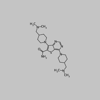 CN(C)CC1CCN(c2c(C(N)=O)sc3c(N4CCC(CN(C)C)CC4)ncnc23)CC1